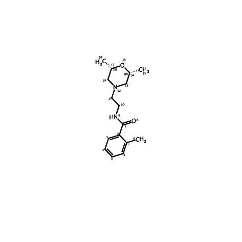 Cc1ccccc1C(=O)NCCN1C[C@@H](C)O[C@@H](C)C1